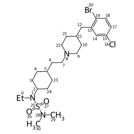 CCN(C1CCC(CCN2CCC(Cc3cc(Cl)ccc3Br)CC2)CC1)S(=O)(=O)N(C)C